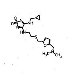 CN(C)Cc1ccc(CSCCNC2=NS(=O)(=O)N=C2NCC2CC2)o1